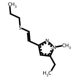 CCCSC=Cc1cc(CC)n(C)n1